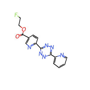 O=C(OCCF)c1ccc(-c2nnc(-c3ccccn3)nn2)nc1